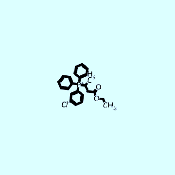 CCOC(=O)CC(C)[P+](c1ccccc1)(c1ccccc1)c1ccccc1.[Cl-]